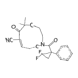 CC1(C)CCCN(C(=O)C2(c3ccccc3)CC2(F)F)CC/C=C(/C#N)C1=O